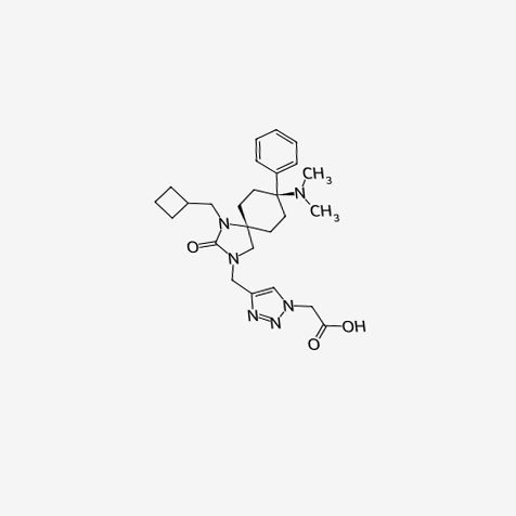 CN(C)[C@]1(c2ccccc2)CC[C@@]2(CC1)CN(Cc1cn(CC(=O)O)nn1)C(=O)N2CC1CCC1